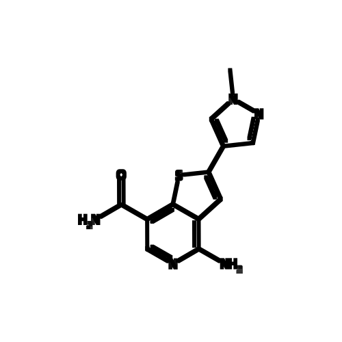 Cn1cc(-c2cc3c(N)ncc(C(N)=O)c3s2)cn1